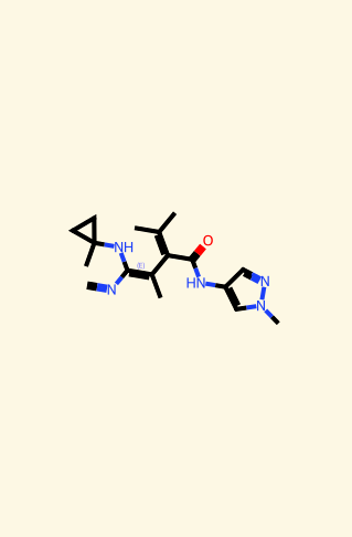 C=N/C(NC1(C)CC1)=C(\C)C(C(=O)Nc1cnn(C)c1)=C(C)C